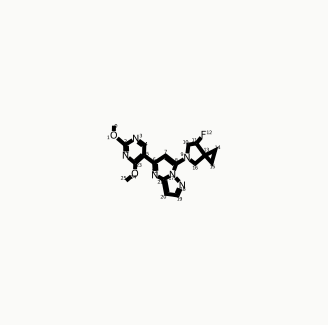 COc1ncc(-c2cc(N3CC(F)C4(CC4)C3)n3nccc3n2)c(OC)n1